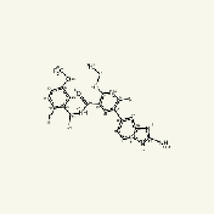 [2H]COc1nc(C)c(-c2ccn3nc(N)nc3c2)cc1C(=O)NC(C)c1cc(OC(F)(F)F)ccc1F